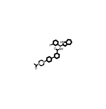 CC(=O)N1CCN(c2ccc(-c3cccc(C(=O)N[C@H](c4[c]ccc(F)c4)c4cc5ccccc5[nH]4)c3)cc2)CC1